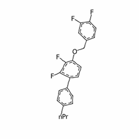 CCCc1ccc(-c2ccc(OCc3ccc(F)c(F)c3)c(F)c2F)cc1